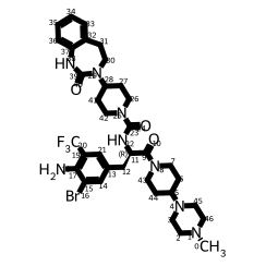 CN1CCN(C2CCN(C(=O)[C@@H](Cc3cc(Br)c(N)c(C(F)(F)F)c3)NC(=O)N3CCC(N4CCc5ccccc5NC4=O)CC3)CC2)CC1